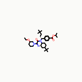 CCOC1CCCN(/C(=N/C)C(=O)N(C2CCC(C(C)(C)C)CC2)[C@H](CCC(C)(C)C)c2ccc(C(=O)OC(C)C)cc2)C1